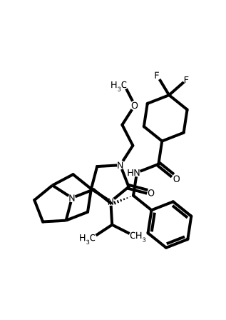 COCCN1CC2(CC3CCC(C2)N3CC[C@H](NC(=O)C2CCC(F)(F)CC2)c2ccccc2)N(C(C)C)C1=O